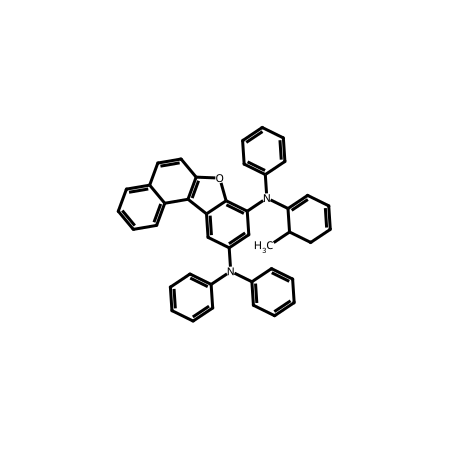 CC1CC=CC=C1N(c1ccccc1)c1cc(N(c2ccccc2)c2ccccc2)cc2c1oc1ccc3ccccc3c12